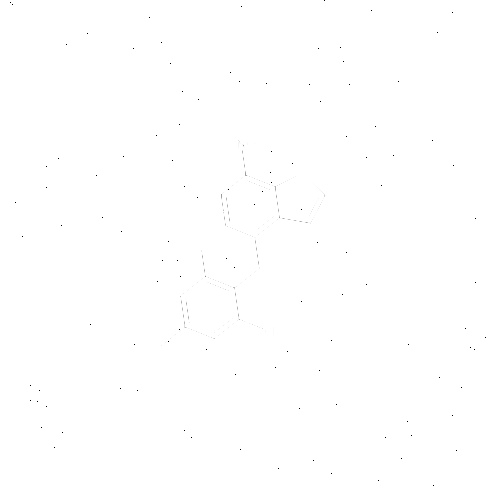 Cc1cc(Cl)c(Cc2ccc(N=O)c3occc23)c(Cl)c1